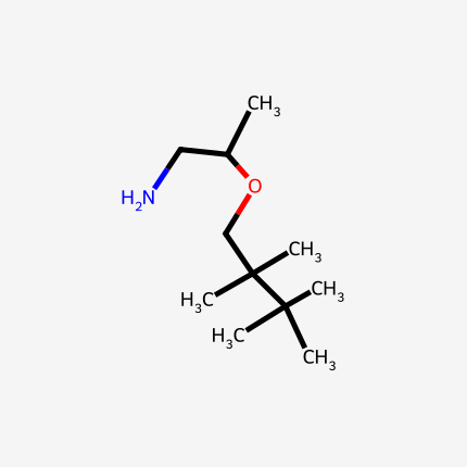 CC(CN)OCC(C)(C)C(C)(C)C